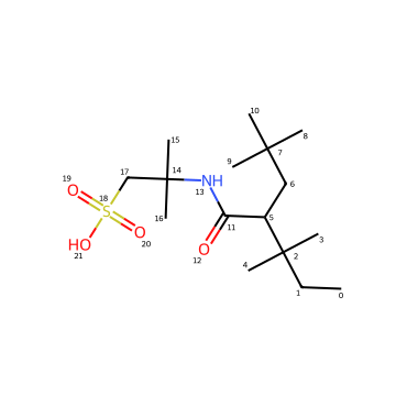 CCC(C)(C)C(CC(C)(C)C)C(=O)NC(C)(C)CS(=O)(=O)O